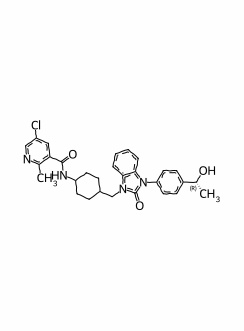 Cc1ncc(Cl)cc1C(=O)NC1CCC(Cn2c(=O)n(-c3ccc([C@@H](C)O)cc3)c3ccccc32)CC1